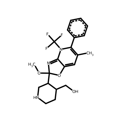 COC1(C2CNCCC2CO)N=C2C(=CC(C)=C(c3ccccc3)N2C(F)(F)F)O1